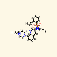 Cc1ccccc1S(=O)(=O)N(C)c1cnc2c(N3CCN(C)CC3)cccc2c1